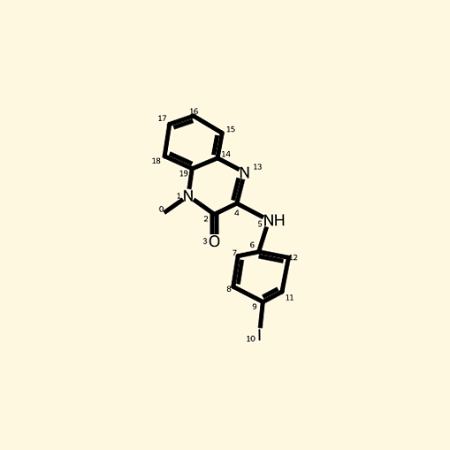 Cn1c(=O)c(Nc2ccc(I)cc2)nc2ccccc21